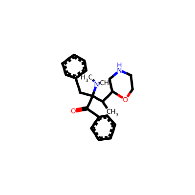 CC(C1CNCCO1)C(Cc1ccccc1)(C(=O)c1ccccc1)N(C)C